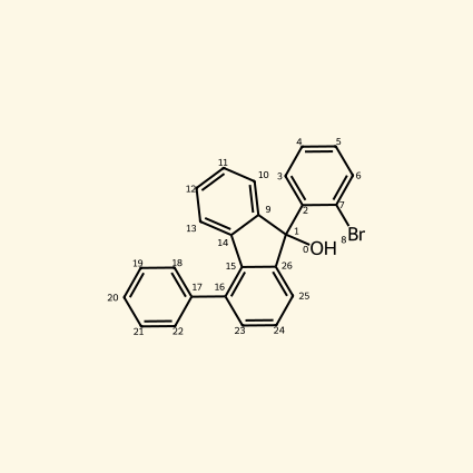 OC1(c2ccccc2Br)c2ccccc2-c2c(-c3ccccc3)cccc21